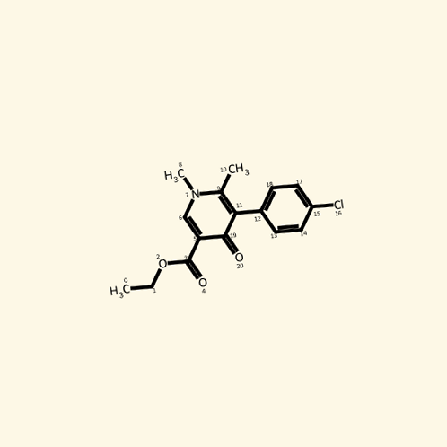 CCOC(=O)c1cn(C)c(C)c(-c2ccc(Cl)cc2)c1=O